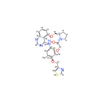 COCC(=O)N1CCC[C@@H]1COc1cccc2ncnc(Nc3ccc(OCc4cscn4)c(C)c3)c12